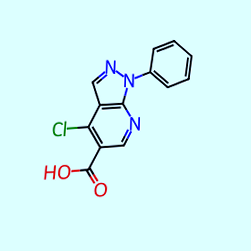 O=C(O)c1cnc2c(cnn2-c2ccccc2)c1Cl